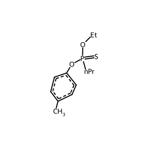 CCCP(=S)(OCC)Oc1ccc(C)cc1